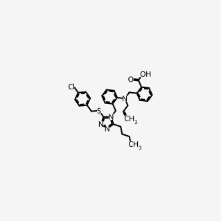 C=CCN(Cc1ccccc1C(=O)O)c1ccccc1Cn1c(CCCC)nnc1SCc1ccc(Cl)cc1